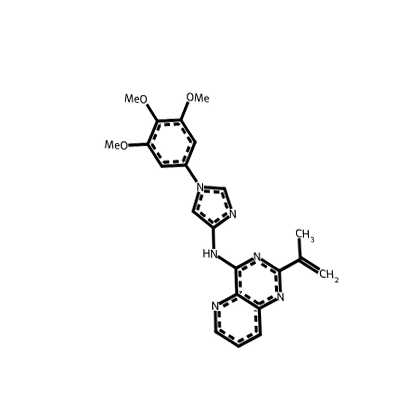 C=C(C)c1nc(Nc2cn(-c3cc(OC)c(OC)c(OC)c3)cn2)c2ncccc2n1